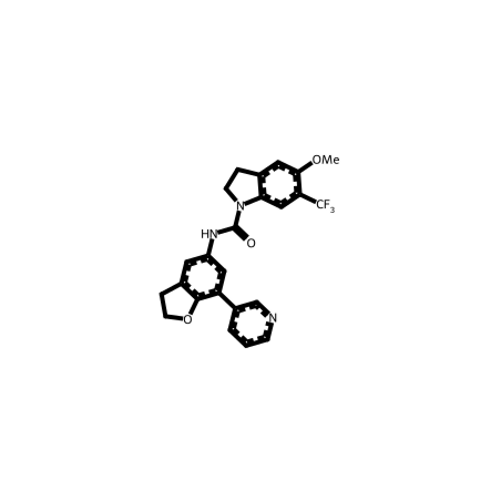 COc1cc2c(cc1C(F)(F)F)N(C(=O)Nc1cc3c(c(-c4cccnc4)c1)OCC3)CC2